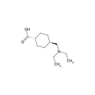 CCN(CC)C[C@H]1CC[C@H](C(=O)O)CC1